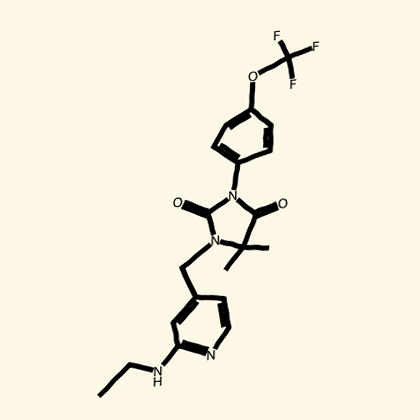 CCNc1cc(CN2C(=O)N(c3ccc(OC(F)(F)F)cc3)C(=O)C2(C)C)ccn1